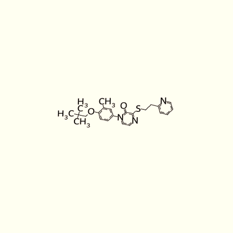 Cc1cc(-n2ccnc(SCCc3ccccn3)c2=O)ccc1OCC(C)(C)C